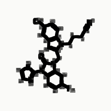 N#CCCCn1c(Cn2c(=O)n(-c3nccs3)c3ccc(F)cc32)cc2cc(Cl)ccc21